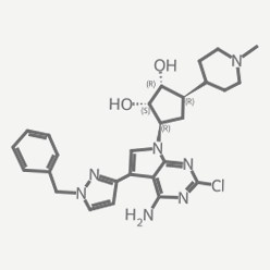 CN1CCC([C@H]2C[C@@H](n3cc(-c4ccn(Cc5ccccc5)n4)c4c(N)nc(Cl)nc43)[C@H](O)[C@@H]2O)CC1